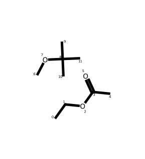 CCOC(C)=O.COC(C)(C)C